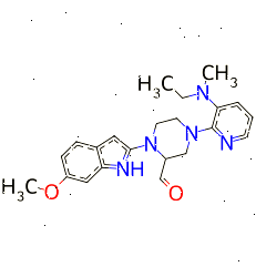 CCN(C)c1cccnc1N1CCN(c2cc3ccc(OC)cc3[nH]2)C(C=O)C1